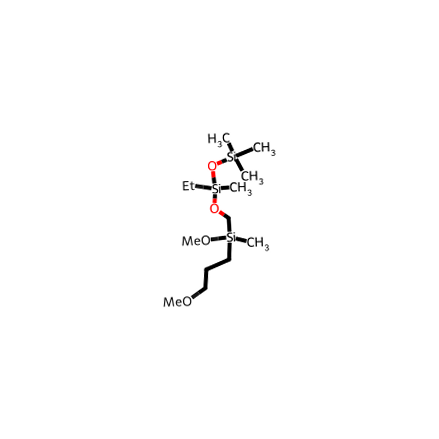 CC[Si](C)(OC[Si](C)(CCCOC)OC)O[Si](C)(C)C